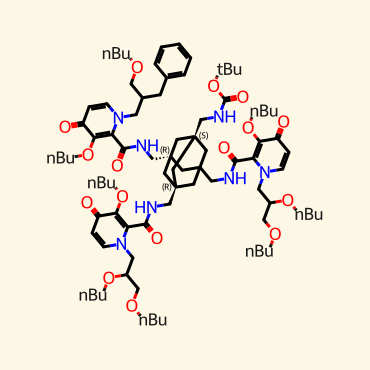 CCCCOCC(Cc1ccccc1)Cn1ccc(=O)c(OCCCC)c1C(=O)NC[C@]12CC3(CNC(=O)c4c(OCCCC)c(=O)ccn4CC(COCCCC)OCCCC)C[C@](CNC(=O)OC(C)(C)C)(C[C@](CNC(=O)c4c(OCCCC)c(=O)ccn4CC(COCCCC)OCCCC)(C3)C1)C2